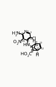 Nc1ncc(Cl)c(N[C@H]2[C@@H](C(=O)O)[C@@H]3C=C[C@H]2C3)c1[N+](=O)[O-]